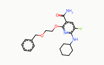 NC(=O)c1cc(F)c(NC2CC[CH]CC2)nc1OCCOCc1ccccc1